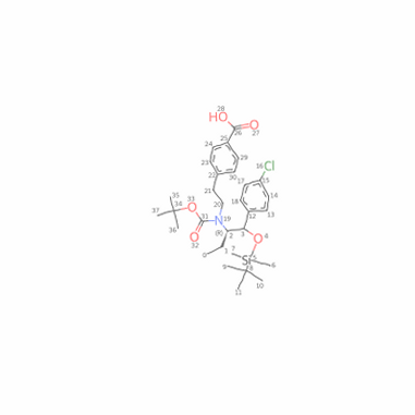 CC[C@H](C(O[Si](C)(C)C(C)(C)C)c1ccc(Cl)cc1)N(CCc1ccc(C(=O)O)cc1)C(=O)OC(C)(C)C